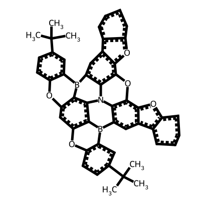 CC(C)(C)c1ccc2c(c1)B1c3cc4c(oc5ccccc54)c4c3N3c5c1c(cc1c5B(c5cc(C(C)(C)C)ccc5O1)c1cc5c(oc6ccccc65)c(c13)O4)O2